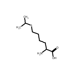 CC(C)SCCCCC(N)C(=O)O